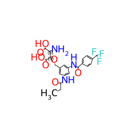 CCC(=O)Nc1cc(CO[C@H](C(=O)O)[C@H](N)C(=O)O)cc(NC(=O)c2ccc(C(F)(F)F)cc2)c1